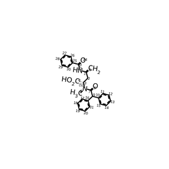 C=C(C[C@@H](C(=O)O)N(C)C(=O)C(c1ccccc1)c1ccccc1)NC(=O)c1ccccc1